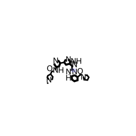 CN/C(=N\c1ccccc1C(=O)N1CCCC1)c1n[nH]c2ncc(-c3cncc(NC(=O)C4CCN(C)CC4)c3)cc12